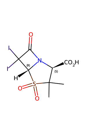 CC1(C)[C@H](C(=O)O)N2C(=O)C(I)(I)[C@H]2S1(=O)=O